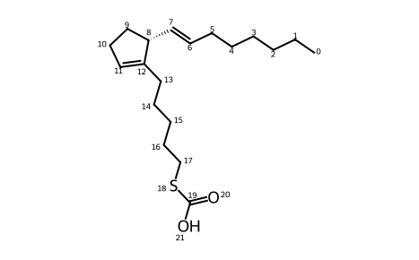 CCCCCCC=C[C@H]1CCC=C1CCCCCSC(=O)O